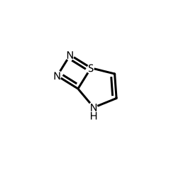 C1=CS2=NN=C2N1